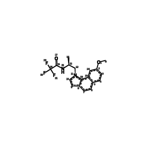 COc1ccc2ccc3ccn(C[C@H](C)NC(=O)C(F)(F)F)c3c2c1